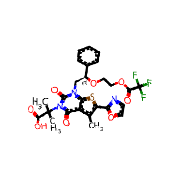 Cc1c(-c2ncco2)sc2c1c(=O)n(C(C)(C)C(=O)O)c(=O)n2C[C@H](OCCOC(=O)C(F)(F)F)c1ccccc1